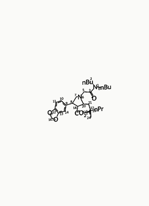 CCCCN(CCCC)C(=O)CN1CC(c2ccc3c(c2)OCO3)C(C(=O)O)C1CC(C)(C)CCC